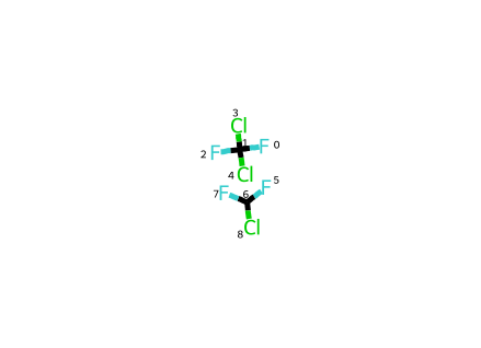 FC(F)(Cl)Cl.FC(F)Cl